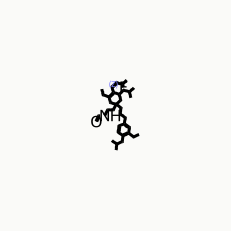 CCC1=C(/C=C\C(C)F)C(CC(C)C)CC(CCCc2ccc(CC(C)C)c(CC)c2)(CCNC=O)C1